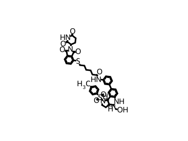 Cc1ccc(S(=O)(=O)N2CC[C@@H]3[C@H](CO)Nc4ccc(-c5cccc(NC(=O)CCCCCSc6cccc7c6C(=O)N(C6CCC(=O)NC6=O)C7=O)c5)cc4[C@@H]32)cc1